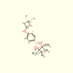 CC1(C)OB(c2ccc(OC3CC(F)(F)C3)cc2)OC1(C)C